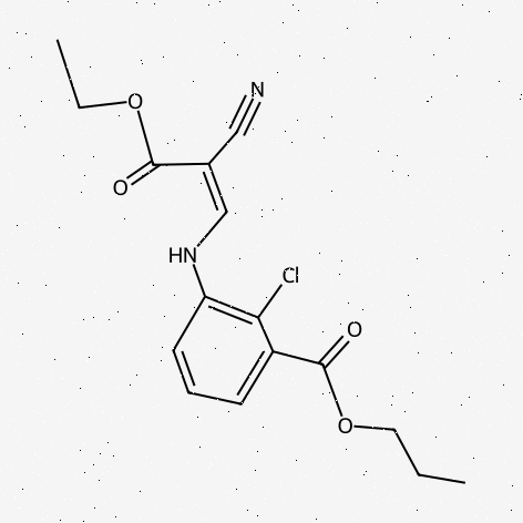 CCCOC(=O)c1cccc(NC=C(C#N)C(=O)OCC)c1Cl